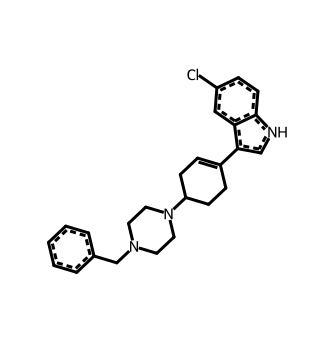 Clc1ccc2[nH]cc(C3=CCC(N4CCN(Cc5ccccc5)CC4)CC3)c2c1